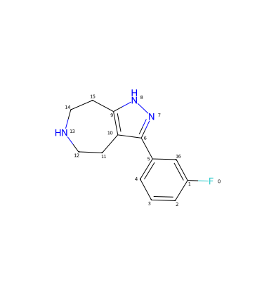 Fc1cccc(-c2n[nH]c3c2CCNCC3)c1